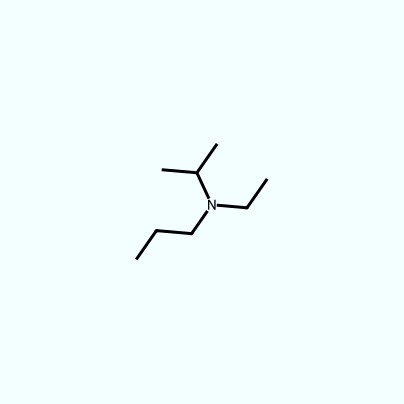 CCCN(CC)C(C)C